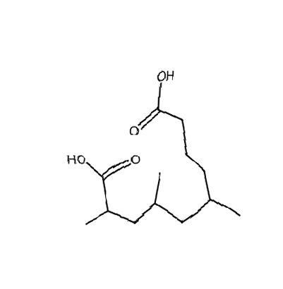 CC(CCCC(=O)O)CC(C)CC(C)C(=O)O